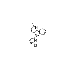 Cc1ccc2c(n1)C1(CCOCC1)CN2c1ccnc(Cl)n1